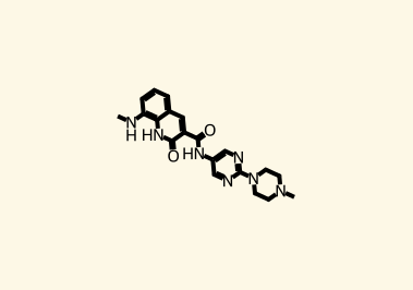 CNc1cccc2cc(C(=O)Nc3cnc(N4CCN(C)CC4)nc3)c(=O)[nH]c12